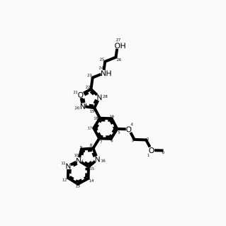 COCCOc1cc(-c2cn3ncccc3n2)cc(-c2noc(CNCCO)n2)c1